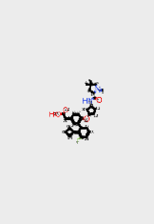 CN1CC(C)(C)C[C@H]1C(=O)N[C@@H]1CC[C@@H](Oc2ccc(CC(=O)O)cc2-c2cccc(F)c2C2CCC2)C1